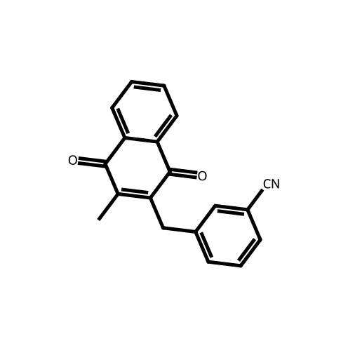 CC1=C(Cc2cccc(C#N)c2)C(=O)c2ccccc2C1=O